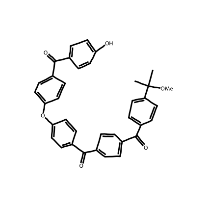 COC(C)(C)c1ccc(C(=O)c2ccc(C(=O)c3ccc(Oc4ccc(C(=O)c5ccc(O)cc5)cc4)cc3)cc2)cc1